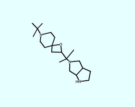 CC(C)(C)N1CCC2(CC1)CC(C(C)(C)N1CC3CCNC3C1)O2